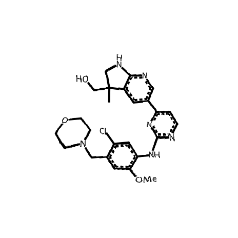 COc1cc(CN2CCOCC2)c(Cl)cc1Nc1nccc(-c2cnc3c(c2)C(C)(CO)CN3)n1